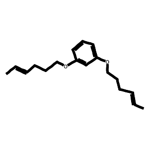 C/C=C/CCCOc1[c]ccc(OCCC/C=C/C)c1